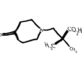 CC(C)(CN1CCC(=O)CC1)C(=O)O